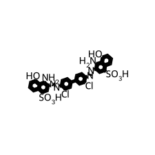 Nc1c(N=Nc2ccc(-c3ccc(N=Nc4cc(S(=O)(=O)O)c5cccc(O)c5c4N)c(Cl)c3)cc2Cl)cc(S(=O)(=O)O)c2cccc(O)c12